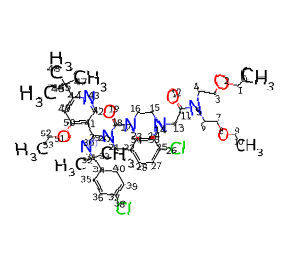 CCOCCN(CCOCC)C(=O)CN1CCN(C(=O)N(Cc2ccc(Cl)cc2)/C(=N\C(C)(C)C2C=CC(Cl)=CC2)c2cnc(C(C)(C)C)cc2OCC)CC1